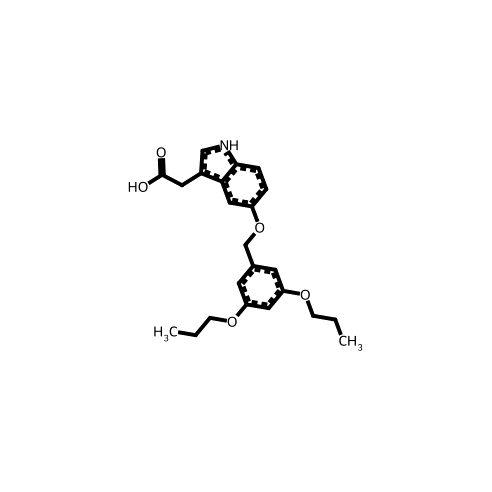 CCCOc1cc(COc2ccc3[nH]cc(CC(=O)O)c3c2)cc(OCCC)c1